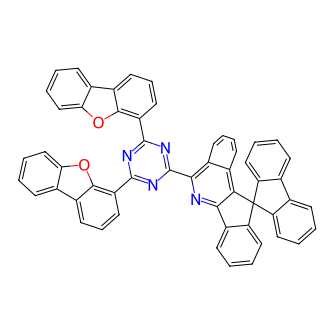 c1ccc2c(c1)-c1ccccc1C21c2ccccc2-c2nc(-c3nc(-c4cccc5c4oc4ccccc45)nc(-c4cccc5c4oc4ccccc45)n3)c3ccccc3c21